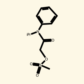 CC(C)N(C(=O)COS(C)(=O)=O)c1ccccc1